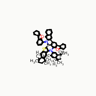 Cc1cc2c(cc1N1c3c(sc4cc5c(cc34)C(C)(C)CCC5(C)C)B3c4c(cc5c(oc6ccccc65)c41)-c1cc4ccccc4cc1N3c1cccc3c1oc1ccccc13)C(C)(C)CCC2(C)C